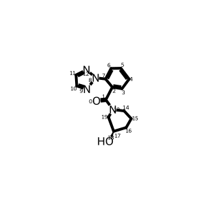 O=C(c1ccccc1-n1nccn1)N1CCC[C@@H](O)C1